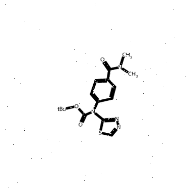 CN(C)C(=O)c1ccc(N(C(=O)OC(C)(C)C)c2nncs2)cc1